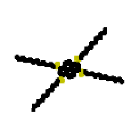 CCCCCCCCCCCCSc1cc(SCCCCCCCCCCCC)c2ccc3c(SCCCCCCCCCCCC)cc(SCCCCCCCCCCCC)c4ccc1c2c43